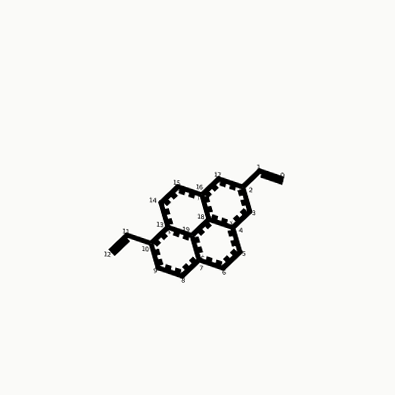 C=Cc1cc2ccc3ccc(C=C)c4ccc(c1)c2c34